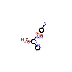 COc1cc(CNS(=O)(=O)c2ccc(C#N)cc2)nc(-c2ccccn2)c1